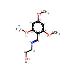 COc1cc(OC)c(C=NCCO)c(OC)c1